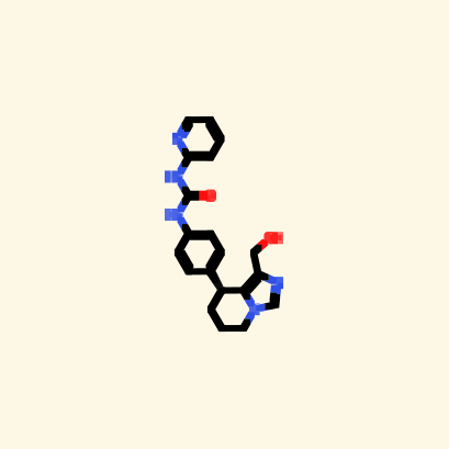 O=C(Nc1ccc([C@@H]2CCCn3cnc(CO)c32)cc1)Nc1ccccn1